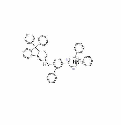 C=C(/C=C(\C=C/Nc1ccccc1)c1ccc(NC2=CCC3C(=C2)c2ccccc2C3(c2ccccc2)c2ccccc2)c(-c2ccccc2)c1)c1ccccc1